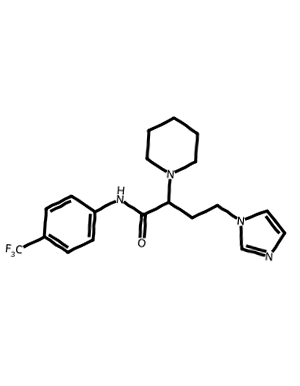 O=C(Nc1ccc(C(F)(F)F)cc1)C(CCn1ccnc1)N1CCCCC1